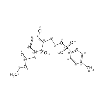 CCOC(=O)Cn1ncc(Cl)c(CCOS(=O)(=O)c2ccc(C)cc2)c1=O